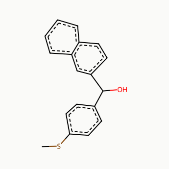 CSc1ccc(C(O)c2ccc3ccccc3c2)cc1